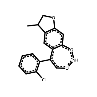 CC1COc2cc3o[nH]occ(-c4ccccc4Cl)c3cc21